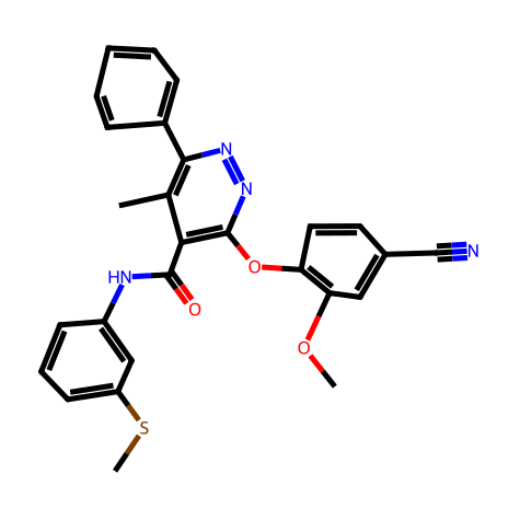 COc1cc(C#N)ccc1Oc1nnc(-c2ccccc2)c(C)c1C(=O)Nc1cccc(SC)c1